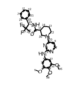 COc1cc(Nc2nccc(N3CCCC(C(=O)N[C@@H](c4ccccc4)C(F)(F)F)C3)n2)cc(OC)c1OC